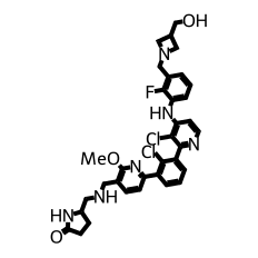 COc1nc(-c2cccc(-c3nccc(Nc4cccc(CN5CC(CO)C5)c4F)c3Cl)c2Cl)ccc1CNCC1CCC(=O)N1